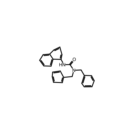 O=C(Nc1cccc2ccccc12)N(Cc1ccccc1)Cc1ccccc1